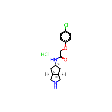 Cl.O=C(COc1ccc(Cl)cc1)N[C@@H]1C[C@H]2CNC[C@H]2C1